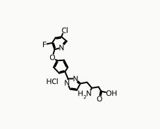 Cl.NC(CC(=O)O)Cc1ccnc(-c2ccc(Oc3ncc(Cl)cc3F)cc2)n1